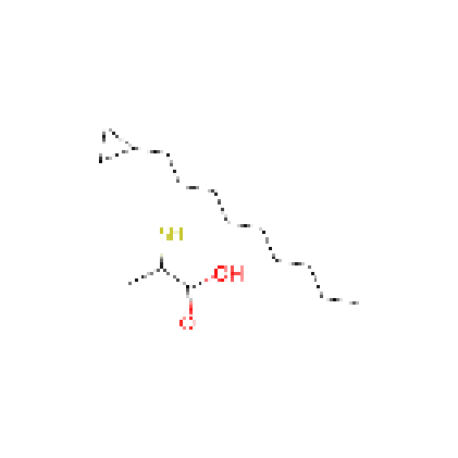 CC(S)C(=O)O.CCCCCCCCCC1CC1